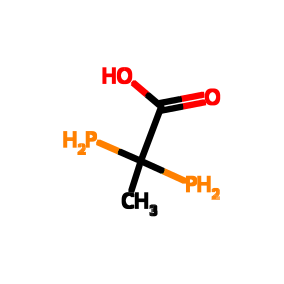 CC(P)(P)C(=O)O